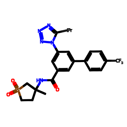 CC(C)c1nnnn1-c1cc(C(=O)NC2(C)CCS(=O)(=O)C2)cc(-c2ccc(C(F)(F)F)cc2)c1